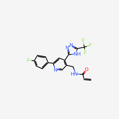 C=CC(=O)NCc1cnc(-c2ccc(F)cc2)cc1-c1nnc(C(F)(F)F)[nH]1